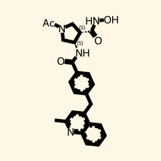 CC(=O)N1C[C@H](C(=O)NO)[C@H](NC(=O)c2ccc(Cc3cc(C)nc4ccccc34)cc2)C1